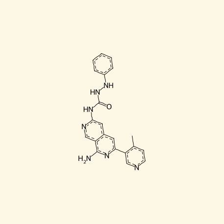 Cc1ccncc1-c1cc2cc(NC(=O)NNc3ccccc3)ncc2c(N)n1